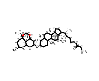 C[C@H]1[C@@H](O[C@@H]2CC[C@]3(C)C4C[C@H](O)[C@]5(C)C([C@H](C)CCCOC(=O)CN)CC[C@H]5[C@@H]4CC[C@@H]3C2)OC2O[C@@H](C)CC[C@H]3[C@H](C)CC[C@@H]1[C@@]23OO